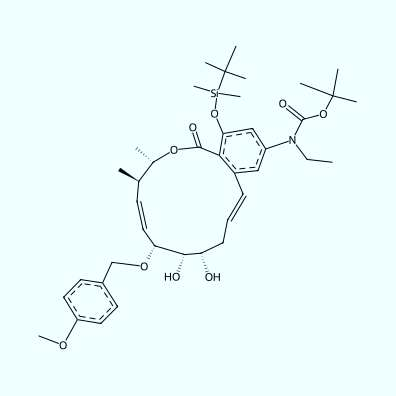 CCN(C(=O)OC(C)(C)C)c1cc2c(c(O[Si](C)(C)C(C)(C)C)c1)C(=O)O[C@@H](C)[C@H](C)/C=C\[C@@H](OCc1ccc(OC)cc1)[C@@H](O)[C@@H](O)C/C=C/2